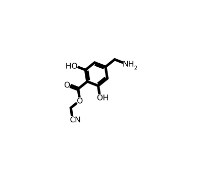 N#CCOC(=O)c1c(O)cc(CN)cc1O